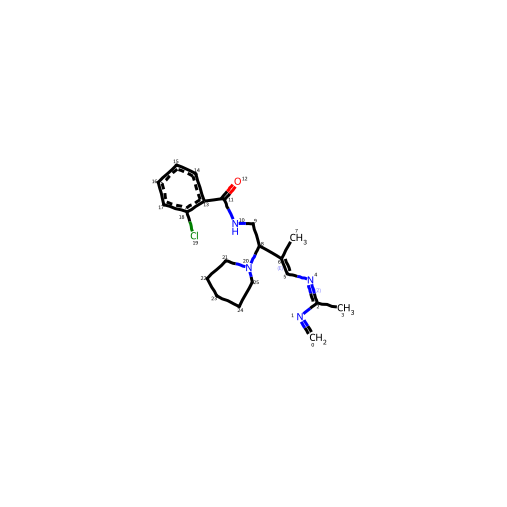 C=N/C(C)=N\C=C(/C)C(CNC(=O)c1ccccc1Cl)N1CCCCC1